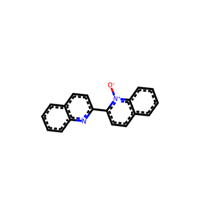 [O-][n+]1c(-c2ccc3ccccc3n2)ccc2ccccc21